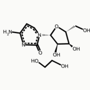 Nc1ccn([C@@H]2O[C@H](CO)[C@@H](O)[C@H]2O)c(=O)n1.OCCO